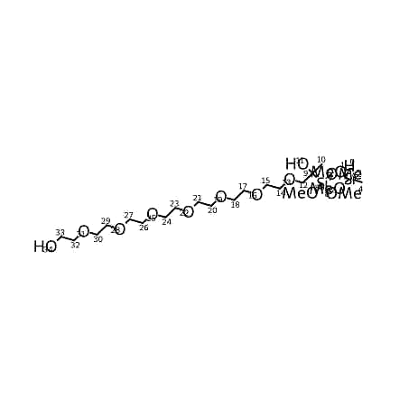 COC.CO[SiH2]C.CO[Si](OC)(OC)C(C)(O)COCCOCCOCCOCCOCCOCCOCCO